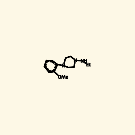 CCNN1CCN(c2ccccc2OC)CC1